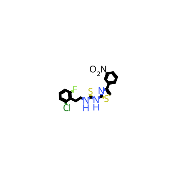 O=[N+]([O-])c1cccc(-c2csc(NC(=S)NCCc3c(F)cccc3Cl)n2)c1